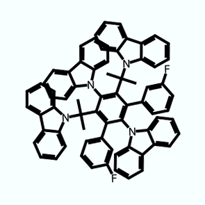 CC(C)(c1c(-c2cccc(F)c2)c(-n2c3ccccc3c3ccccc32)c(-c2cccc(F)c2)c(C(C)(C)n2c3ccccc3c3ccccc32)c1-n1c2ccccc2c2ccccc21)n1c2ccccc2c2ccccc21